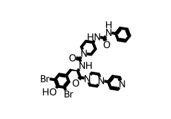 O=C(Nc1ccccc1)NC1CCN(C(=O)N[C@H](Cc2cc(Br)c(O)c(Br)c2)C(=O)N2CCN(c3ccncc3)CC2)CC1